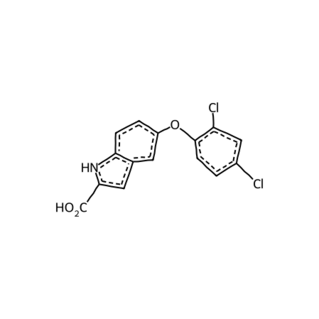 O=C(O)c1cc2cc(Oc3ccc(Cl)cc3Cl)ccc2[nH]1